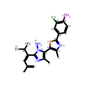 C=C(C)/C=C(\c1nc(C)c(-c2sc(-c3ccc(P)c(F)c3)nc2C)n1N)C(CC)CC